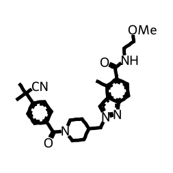 COCCNC(=O)c1ccc2nn(CC3CCN(C(=O)c4ccc(C(C)(C)C#N)cc4)CC3)cc2c1C